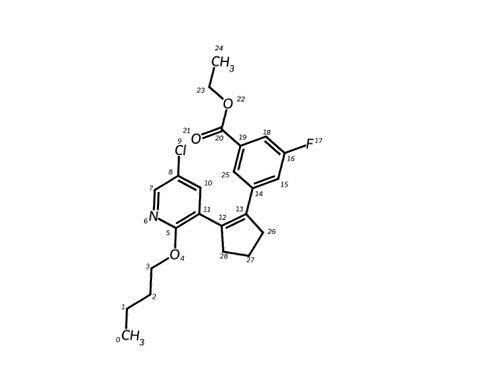 CCCCOc1ncc(Cl)cc1C1=C(c2cc(F)cc(C(=O)OCC)c2)CCC1